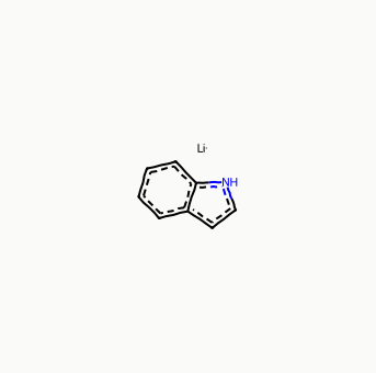 [Li].c1ccc2[nH]ccc2c1